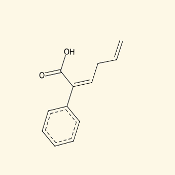 C=CC/C=C(\C(=O)O)c1ccccc1